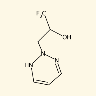 OC(CN1N=CC=CN1)C(F)(F)F